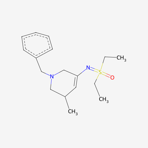 CCS(=O)(CC)=NC1=CC(C)CN(Cc2ccccc2)C1